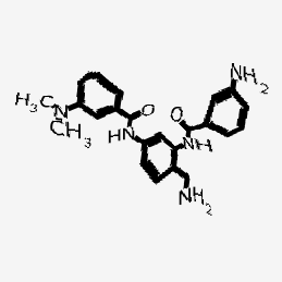 CN(C)c1cccc(C(=O)Nc2ccc(CN)c(NC(=O)c3cccc(N)c3)c2)c1